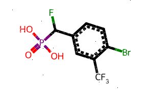 O=P(O)(O)C(F)c1ccc(Br)c(C(F)(F)F)c1